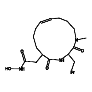 CC(C)CC1NC(=O)C(CC(=O)NO)CCCC=CCCCN(C)C1=O